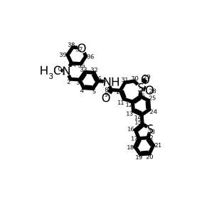 CN(Cc1ccc(NC(=O)C2=Cc3cc(-c4cc5ccccc5s4)ccc3S(=O)(=O)CC2)cc1)C1CCOCC1